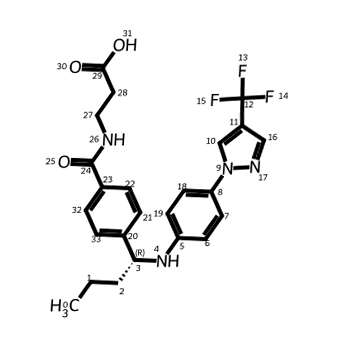 CCC[C@@H](Nc1ccc(-n2cc(C(F)(F)F)cn2)cc1)c1ccc(C(=O)NCCC(=O)O)cc1